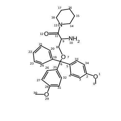 COc1ccc(C(OCC(N)C(=O)N2CCCCC2)(c2ccccc2)c2ccc(OC)cc2)cc1